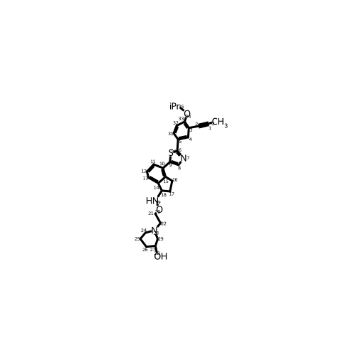 CC#Cc1cc(-c2ncc(-c3cccc4c3CCC4NOCCN3CCCC(O)C3)s2)ccc1OC(C)C